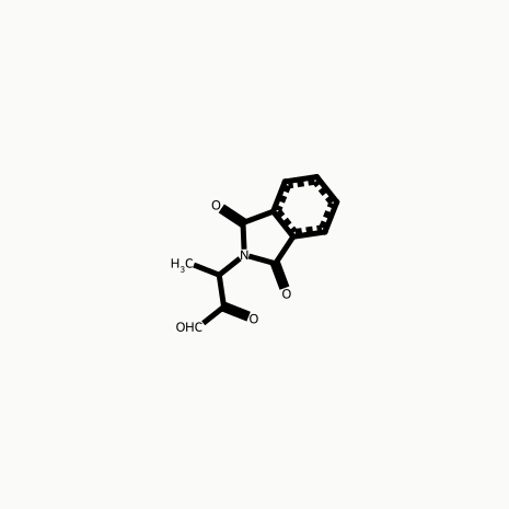 CC(C(=O)C=O)N1C(=O)c2ccccc2C1=O